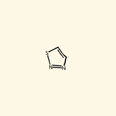 [c]1csnn1